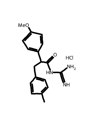 COc1ccc(C(Cc2ccc(C)cc2)C(=O)NC(=N)N)cc1.Cl